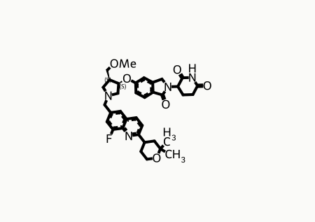 COC[C@@H]1CN(Cc2cc(F)c3nc(C4CCOC(C)(C)C4)ccc3c2)C[C@H]1Oc1ccc2c(c1)CN(C1CCC(=O)NC1=O)C2=O